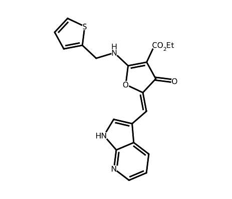 CCOC(=O)C1=C(NCc2cccs2)O/C(=C\c2c[nH]c3ncccc23)C1=O